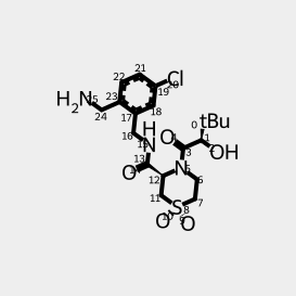 CC(C)(C)[C@@H](O)C(=O)N1CCS(=O)(=O)C[C@H]1C(=O)NCc1cc(Cl)ccc1CN